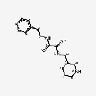 O=C(NCCc1ccccc1)C(=O)NCC1CCCNC1